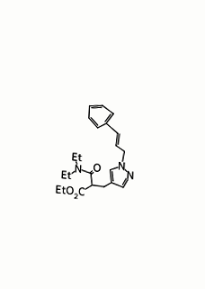 CCOC(=O)C(Cc1cnn(C/C=C/c2ccccc2)c1)C(=O)N(CC)CC